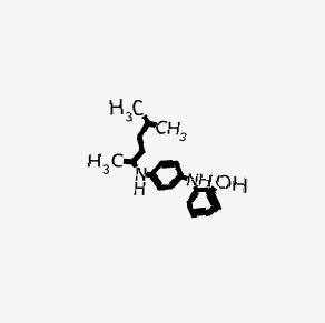 CC(C)CCC(C)Nc1ccc(Nc2ccccc2O)cc1